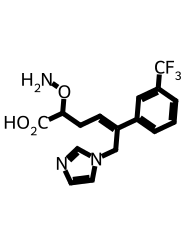 NOC(CC=C(Cn1ccnc1)c1cccc(C(F)(F)F)c1)C(=O)O